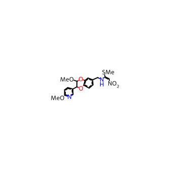 COc1ccc(C2Oc3ccc(CN/C(=C\[N+](=O)[O-])SC)cc3OC2OC)cn1